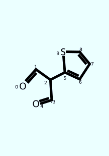 O=[C]C([C]=O)c1cccs1